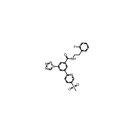 CS(=O)(=O)c1ccc(-c2cc(C(=O)NCCc3ccccc3F)cc(-n3cnnn3)c2)nc1